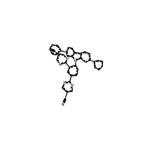 N#Cc1cnc(-c2ccc(-n3c4cc(-c5ccccc5)ccc4c4ccc(-c5ccccc5)cc43)c(-c3ncc(C#N)cn3)c2)nc1